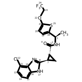 C[C@@H](NC(=O)[C@@H]1C[C@H]1c1nc2c(Cl)cccc2[nH]1)c1ccc(OCC(F)(F)F)s1